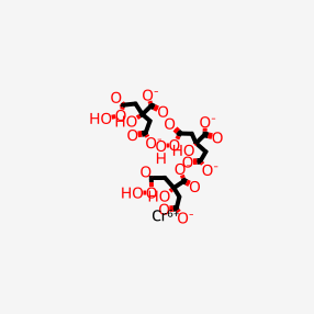 O=C([O-])CC(O)(CC(=O)OO)C(=O)[O-].O=C([O-])CC(O)(CC(=O)OO)C(=O)[O-].O=C([O-])CC(O)(CC(=O)OO)C(=O)[O-].[Cr+6]